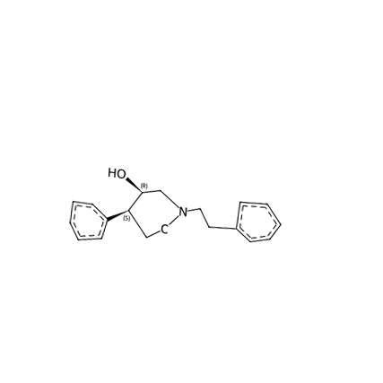 O[C@H]1CN(CCc2ccccc2)CC[C@H]1c1ccccc1